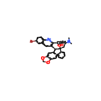 COc1nc2ccc(Br)cc2cc1C(c1ccc2c(c1)OCO2)C(O)(CCN(C)C)c1ccccc1